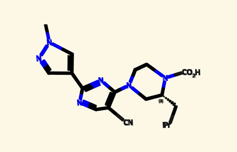 CC(C)C[C@@H]1CN(c2nc(-c3cnn(C)c3)ncc2C#N)CCN1C(=O)O